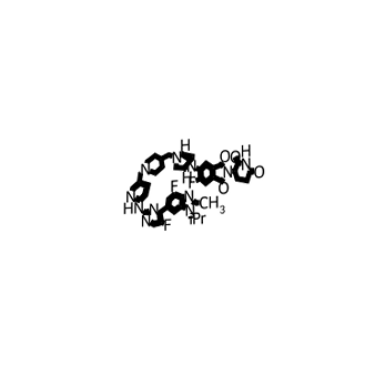 Cc1nc2c(F)cc(-c3nc(Nc4ccc(CN5CCC(CN6C[C@@H]7C[C@H]6CN7c6cc7c(cc6F)C(=O)N(C6CCC(=O)NC6=O)C7=O)CC5)cn4)ncc3F)cc2n1C(C)C